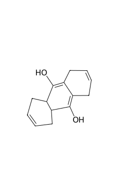 OC1=C2CC=CCC2=C(O)C2CC=CCC12